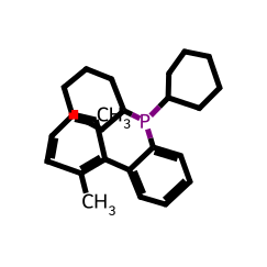 Cc1cccc(C)c1-c1ccccc1P(C1CCCCC1)C1CCCCC1